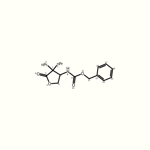 CCCC1(CCC)C(=O)OCC1NC(=O)OCc1ccccc1